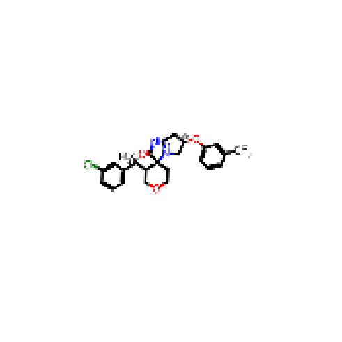 CC(c1cccc(Cl)c1)C1COCCC1(C(N)=O)N1CC[C@@H](Oc2cccc(C(F)(F)F)c2)C1